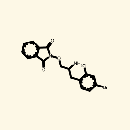 NC(CON1C(=O)c2ccccc2C1=O)Cc1ccc(Br)cc1Cl